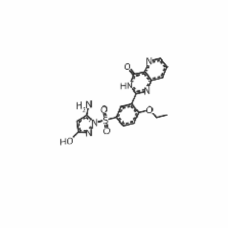 CCOc1ccc(S(=O)(=O)n2nc(O)cc2N)cc1-c1nc2cccnc2c(=O)[nH]1